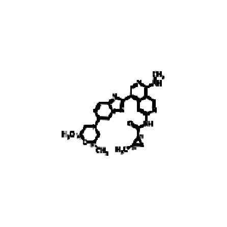 CNc1ncc(-c2nc3ccc(N4C[C@@H](C)O[C@@H](C)C4)cn3n2)c2cc(NC(=O)[C@H]3C[C@H]3C)ncc12